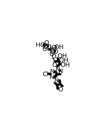 O=P(O)(O)OCP(=O)(OO)OOC[C@H]1O[C@@H](n2ncc3c(N4CC5COCC5C4)nc(Cl)nc32)[C@H](O)C1(O)CO